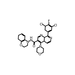 O=C(NN1CCOC2=C1C=CCC2)C1=C(N2CCOCC2)C2C=CN=C(C3=CC(Cl)=C(F)C(Cl)C3)C2N=C1